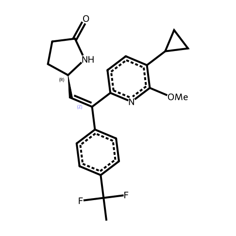 COc1nc(/C(=C\[C@H]2CCC(=O)N2)c2ccc(C(C)(F)F)cc2)ccc1C1CC1